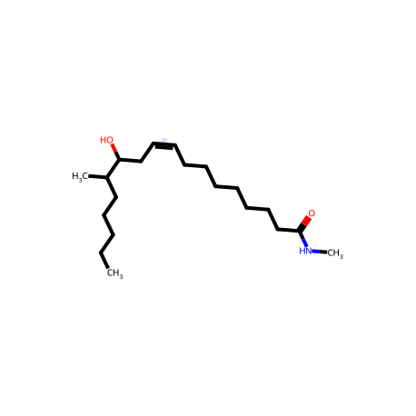 CCCCCC(C)C(O)C/C=C\CCCCCCCC(=O)NC